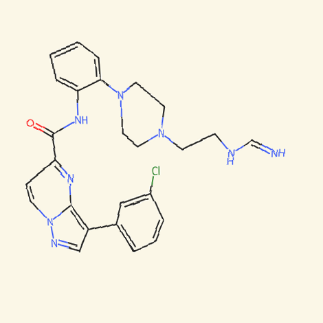 N=CNCCN1CCN(c2ccccc2NC(=O)c2ccn3ncc(-c4cccc(Cl)c4)c3n2)CC1